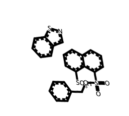 O=S(=O)(O)c1cccc2cccc(S(=O)(=O)OCc3ccccc3)c12.c1ccc2sncc2c1